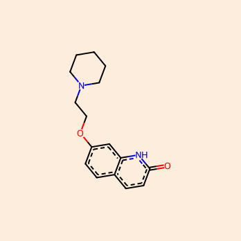 O=c1ccc2ccc(OCCN3CCCCC3)cc2[nH]1